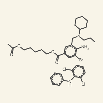 CCCN(Cc1cc(C(=O)OCCCCCOC(C)=O)cc(Br)c1N)C1CCCCC1.Clc1cccc(Cl)c1Nc1ccccc1